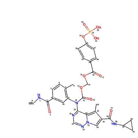 CCCNC(=O)c1ccc(C)c(N(C(=O)OCOC(=O)c2ccc(OP(=O)(O)O)cc2)c2ncnn3cc(C(=O)NC4CC4)c(C)c23)c1